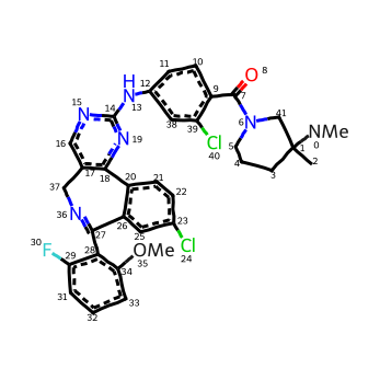 CNC1(C)CCCN(C(=O)c2ccc(Nc3ncc4c(n3)-c3ccc(Cl)cc3C(c3c(F)cccc3OC)=NC4)cc2Cl)C1